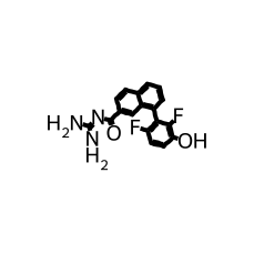 NC(N)=NC(=O)c1ccc2cccc(-c3c(F)ccc(O)c3F)c2c1